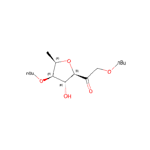 CCCCOCC(=O)[C@@H]1O[C@H](C)[C@H](OCCCC)[C@H]1O